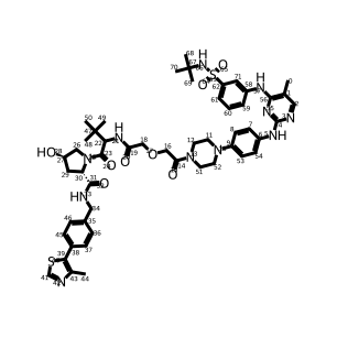 Cc1cnc(Nc2ccc(N3CCN(C(=O)COCC(=O)NC(C(=O)N4C[C@H](O)C[C@H]4C(=O)NCc4ccc(-c5scnc5C)cc4)C(C)(C)C)CC3)cc2)nc1Nc1cccc(S(=O)(=O)NC(C)(C)C)c1